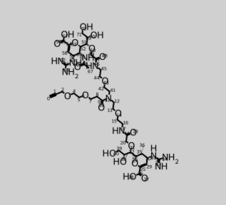 C#CCOCCOCCC(=O)N(CCOCCNC(=O)CO[C@@H]([C@@H]1OC(C(=O)O)=C[C@H](NC(=N)N)[C@H]1C)[C@H](O)CO)CCOCCNC(=O)CO[C@@H]([C@@H]1OC(C(=O)O)=C[C@H](NC(=N)N)[C@H]1NC(C)=O)[C@H](O)CO